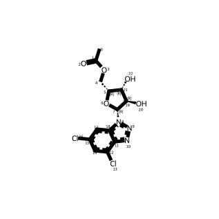 CC(=O)OC[C@H]1O[C@@H](n2nnc3c(Cl)cc(Cl)cc32)[C@H](O)[C@H]1O